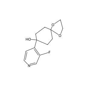 OC1(c2ccncc2F)CCC2(CC1)OCCO2